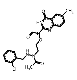 CC(=O)N(CCON(C=O)c1nc2ccc(C)cc2c(=O)[nH]1)NCc1ccccc1Cl